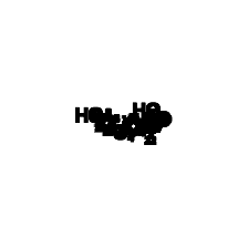 CC(c1ccc(Oc2ccc(O)cc2)cc1)[C@@](C)(C(=O)O)N(C)C